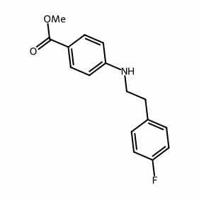 COC(=O)c1ccc(NCCc2ccc(F)cc2)cc1